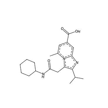 Cc1cc(C(=O)O)cc2nc(C(C)C)c(CC(=O)NC3CCCCC3)n12